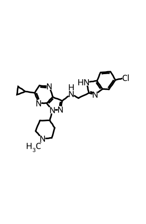 CN1CCC(n2nc(NCc3nc4cc(Cl)ccc4[nH]3)c3ncc(C4CC4)nc32)CC1